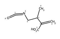 C=C(C(=O)O)C(C)CN=C=O